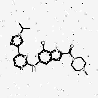 CC(C)n1cnc(-c2ccnc(Nc3cc(Cl)c4[nH]c(C(=O)N5CCN(C)CC5)cc4c3)n2)c1